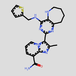 Cc1nc2c(C(N)=O)cccn2c1-c1nc2c(c(NCc3cccs3)n1)NCCCC2